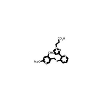 COc1cc(C=O)c(COc2cccnc2-c2ccn(CCC(=O)O)n2)cn1